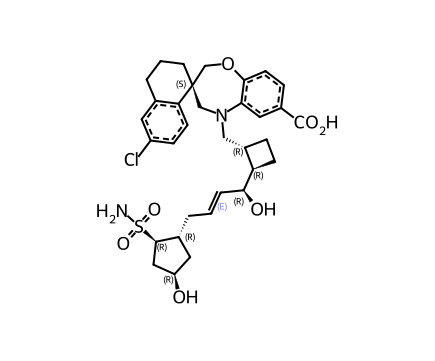 NS(=O)(=O)[C@@H]1C[C@H](O)C[C@H]1C/C=C/[C@H](O)[C@@H]1CC[C@H]1CN1C[C@@]2(CCCc3cc(Cl)ccc32)COc2ccc(C(=O)O)cc21